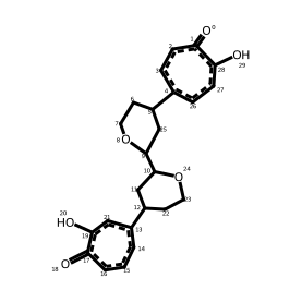 O=c1ccc(C2CCOC(C3CC(c4cccc(=O)c(O)c4)CCO3)C2)ccc1O